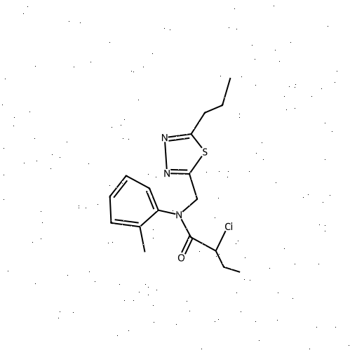 CCCc1nnc(CN(C(=O)C(Cl)CC)c2ccccc2C)s1